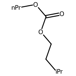 C[CH]COC(=O)OCCC(C)C